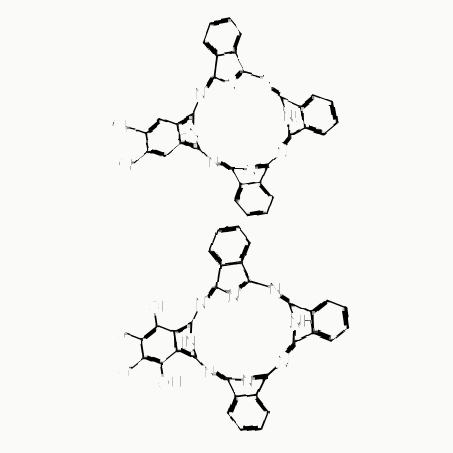 Clc1cc2c3nc4nc(nc5[nH]c(nc6nc(nc([nH]3)c2cc1Cl)-c1ccccc1-6)c1ccccc51)-c1ccccc1-4.Oc1c(Cl)c(Cl)c(O)c2c3nc4nc(nc5[nH]c(nc6nc(nc([nH]3)c12)-c1ccccc1-6)c1ccccc51)-c1ccccc1-4